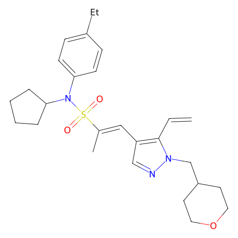 C=Cc1c(/C=C(\C)S(=O)(=O)N(c2ccc(CC)cc2)C2CCCC2)cnn1CC1CCOCC1